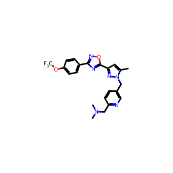 Cc1cc(-c2nc(-c3ccc(OC(F)(F)F)cc3)no2)nn1Cc1ccc(CN(C)C)nc1